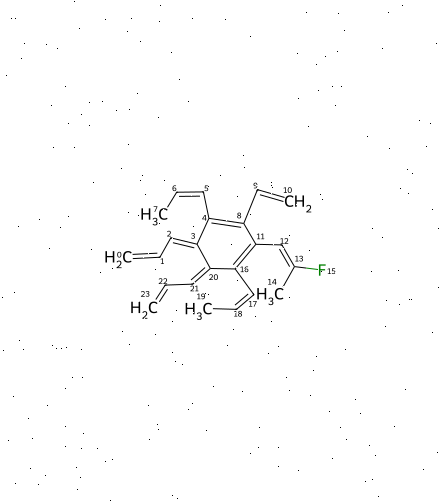 C=C/C=c1/c(/C=C\C)c(C=C)c(/C=C(\C)F)c(/C=C\C)/c1=C/C=C